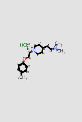 Cc1ccc(OCCN2CCC(CCN(C)C)CC2)cc1.Cl.Cl